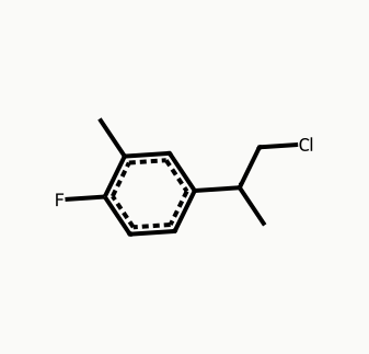 C[C](CCl)c1ccc(F)c(C)c1